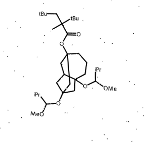 COC(OC12CC3CC(OC(=O)C(C)(CC(C)(C)C)C(C)(C)C)(CCCC3(OC(OC)C(C)C)C1)C2)C(C)C